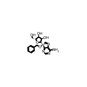 Nc1ncnc2c1N=C[N+]2(OCc1ccccc1)[C@@H]1O[C@H](CO)[C@@H](O)[C@H]1O